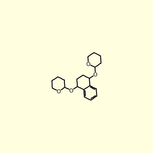 c1ccc2c(c1)C(OC1CCCCO1)CCC2OC1CCCCO1